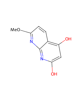 COc1ccc2c(O)cc(O)nc2n1